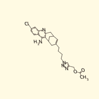 CC(=O)OCc1cn(CCCCC2=CC3Cc4nc5cc(Cl)ccc5c(N)c4C(C2)C3)nn1